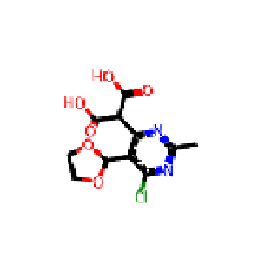 Cc1nc(Cl)c(C2OCCO2)c(C(C(=O)O)C(=O)O)n1